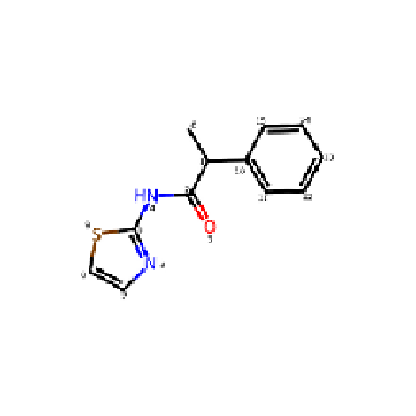 CC(C(=O)Nc1nccs1)c1ccccc1